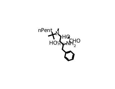 CCCCCC(C)(C)N(C)C[C@@H](O)[C@@H](N)Cc1ccccc1.O=CO